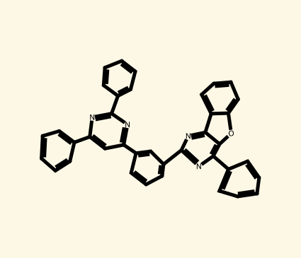 c1ccc(-c2cc(-c3cccc(-c4nc(-c5ccccc5)c5oc6ccccc6c5n4)c3)nc(-c3ccccc3)n2)cc1